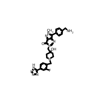 Cn1nc2c(=O)n(CC3(O)CCN(Cc4ccc(-c5nnn[nH]5)cc4F)CC3)cnc2c1-c1ccc(CN)cc1